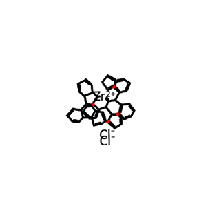 C1=CC[C]([Zr+2](=[C](C(c2ccccc2)c2ccccc2)C(c2ccccc2)c2ccccc2)[CH]2C3C=CC=CC3C3C4C=CC=CC4C4C=CC=CC4C32)=C1.[Cl-].[Cl-]